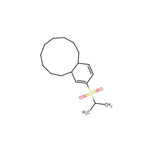 CC(C)S(=O)(=O)C1=CC2CCCCCCCCCC2C=C1